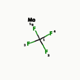 FC(F)(F)F.[Mo]